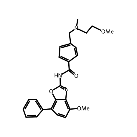 COCCN(C)Cc1ccc(C(=O)Nc2nc3c(OC)ccc(-c4ccccc4)c3o2)cc1